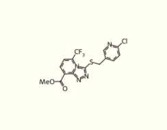 COC(=O)c1ccc(C(F)(F)F)n2c(SCc3ccc(Cl)nc3)nnc12